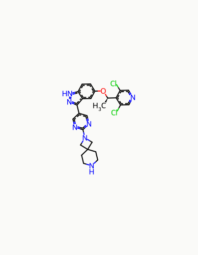 C[C@@H](Oc1ccc2[nH]nc(-c3cnc(N4CC5(CCNCC5)C4)nc3)c2c1)c1c(Cl)cncc1Cl